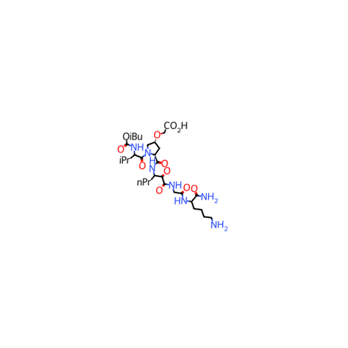 CCCC(NC(=O)[C@@H]1C[C@@H](OCC(=O)O)CN1C(=O)C(NC(=O)OCC(C)C)C(C)C)C(=O)C(=O)NCC(=O)NC(CCCCN)C(N)=O